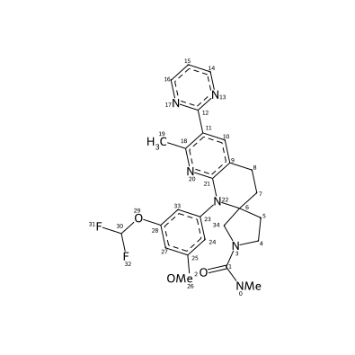 CNC(=O)N1CCC2(CCc3cc(-c4ncccn4)c(C)nc3N2c2cc(OC)cc(OC(F)F)c2)C1